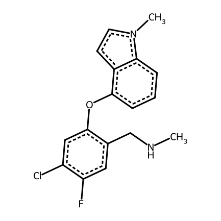 CNCc1cc(F)c(Cl)cc1Oc1cccc2c1ccn2C